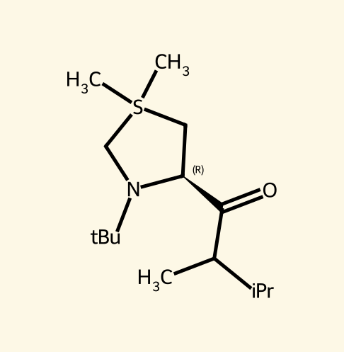 CC(C)C(C)C(=O)[C@@H]1CS(C)(C)CN1C(C)(C)C